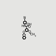 CCOc1cc(OC2Cc3ccccc3C2)cc(C(Nc2ccc(C#N)cc2)C(=O)O)c1